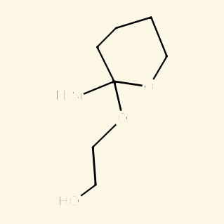 OCCOC1([SiH3])CCCCO1